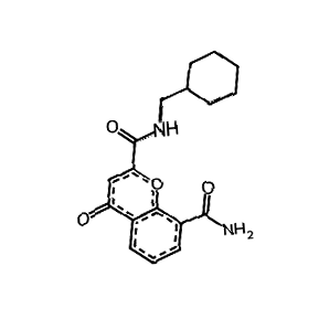 NC(=O)c1cccc2c(=O)cc(C(=O)NCC3CCCCC3)oc12